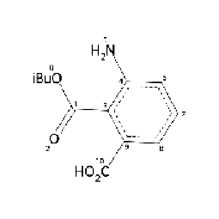 CC(C)COC(=O)c1c(N)cccc1C(=O)O